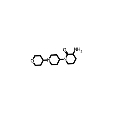 NC1CCCN(C2CCN(C3CCOCC3)CC2)C1=O